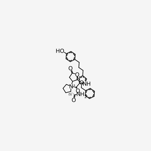 NC(=O)[C@@H]1CCC[N+]1(C(=O)c1nc(CCCc2ccc(O)cc2)c[nH]1)C1CC(=O)OC1OCc1ccccc1